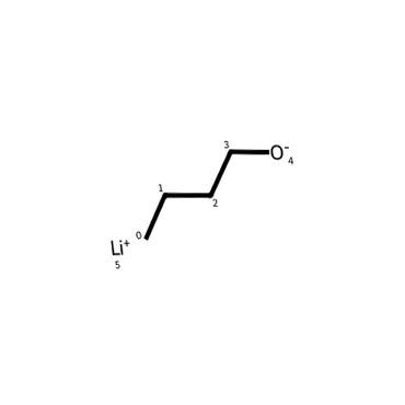 CCCC[O-].[Li+]